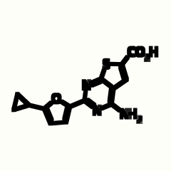 Nc1nc(-c2ccc(C3CC3)o2)nc2sc(C(=O)O)cc12